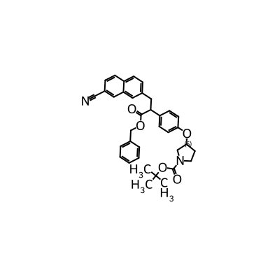 CC(C)(C)OC(=O)N1CC[C@H](Oc2ccc(C(Cc3ccc4ccc(C#N)cc4c3)C(=O)OCc3ccccc3)cc2)C1